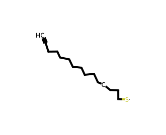 C#CCCCCCCCCCCCCC[S]